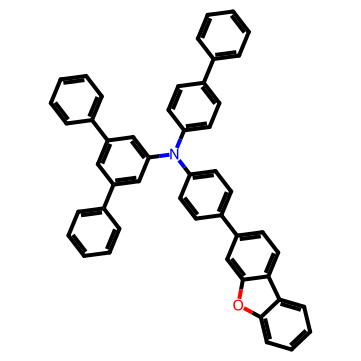 c1ccc(-c2ccc(N(c3ccc(-c4ccc5c(c4)oc4ccccc45)cc3)c3cc(-c4ccccc4)cc(-c4ccccc4)c3)cc2)cc1